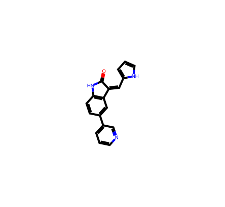 O=C1Nc2ccc(-c3cccnc3)cc2C1=Cc1ccc[nH]1